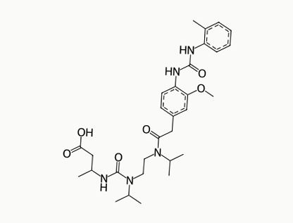 COc1cc(CC(=O)N(CCN(C(=O)NC(C)CC(=O)O)C(C)C)C(C)C)ccc1NC(=O)Nc1ccccc1C